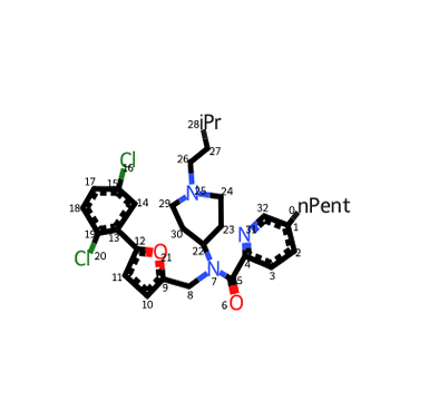 CCCCCc1ccc(C(=O)N(Cc2ccc(-c3cc(Cl)ccc3Cl)o2)C2CCN(CCC(C)C)CC2)nc1